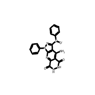 Nc1c2c([S+]([O-])c3ccccc3)nn(-c3ccccc3)c2nc2c(=O)[nH][nH]c(=O)c12